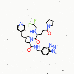 Cn1nnc2cc(CNC(=O)C3CC(Cc4ccncc4)CN3C(=O)C(CCC(=O)N3CCCC3)NCC(F)F)ccc21